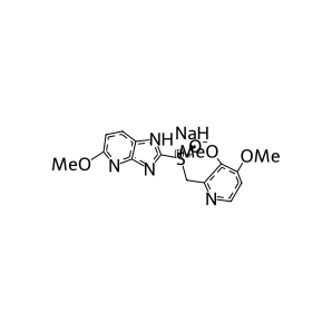 COc1ccc2[nH]c([S@@+]([O-])Cc3nccc(OC)c3OC)nc2n1.[NaH]